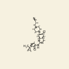 CC1(n2ncc(Nc3ncc4cc(Cl)c(N5CCN(CCC#N)CC5)cc4n3)c2Cl)CC1